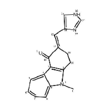 Cn1c2c(c3ccccc31)C(=O)C(=Cc1c[nH]cn1)CC2